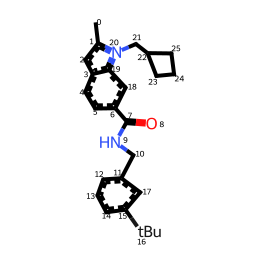 Cc1cc2ccc(C(=O)NCc3cccc(C(C)(C)C)c3)cc2n1CC1CCC1